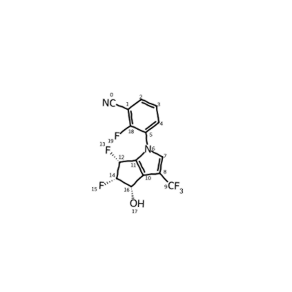 N#Cc1cccc(-n2cc(C(F)(F)F)c3c2[C@@H](F)[C@@H](F)[C@H]3O)c1F